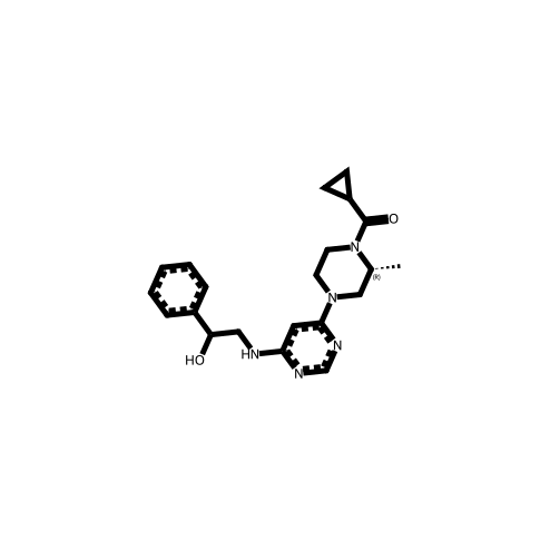 C[C@@H]1CN(c2cc(NCC(O)c3ccccc3)ncn2)CCN1C(=O)C1CC1